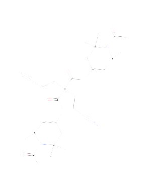 CC(=O)N1C(C)(C)CC(OC(=O)C(CCC#N)(CCC#N)C(=O)OC2CC(C)(C)N(C(C)=O)C(C)(C)C2)CC1(C)C